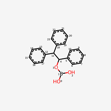 OB(O)OC(c1ccccc1)C(c1ccccc1)c1ccccc1